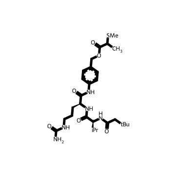 CSC(C)C(=O)OCc1ccc(NC(=O)[C@H](CCCNC(N)=O)NC(=O)[C@@H](NC(=O)CC(C)(C)C)C(C)C)cc1